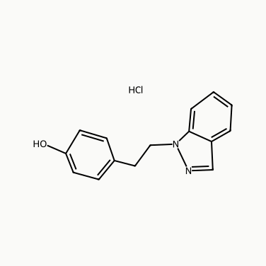 Cl.Oc1ccc(CCn2ncc3ccccc32)cc1